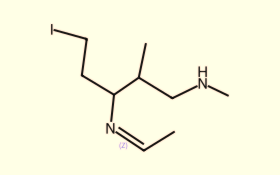 C/C=N\C(CCI)C(C)CNC